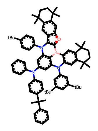 CC(C)(C)c1ccc(N2c3cc(N(c4ccccc4)c4ccc(C(C)(C)c5ccccc5)cc4)cc4c3B(c3cc5c(cc3N4c3cc(C(C)(C)C)cc(C(C)(C)C)c3)C(C)(C)CCC5(C)C)c3oc4cc5c(cc4c32)C(C)(C)CCC5(C)C)cc1